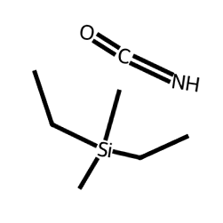 CC[Si](C)(C)CC.N=C=O